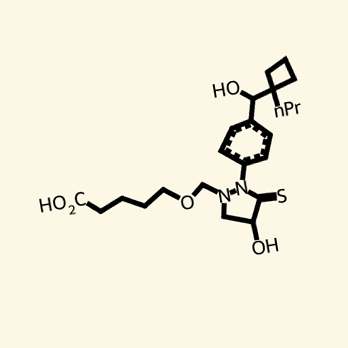 CCCC1(C(O)c2ccc(N3C(=S)C(O)CN3COCCCCC(=O)O)cc2)CCC1